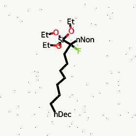 CCCCCCCCCCCCCCCCCC(F)(CCCCCCCCC)[Si](OCC)(OCC)OCC